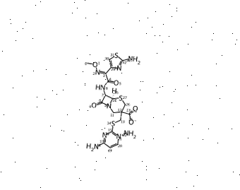 CON=C(C(=O)NC1C(=O)N2CC(CSc3nc(N)cc[n+]3N)(C(=O)[O-])CS[C@H]12)c1csc(N)n1